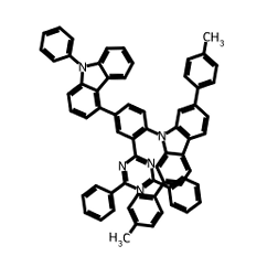 Cc1ccc(-c2ccc3c4ccc(-c5ccc(C)cc5)cc4n(-c4ccc(-c5cccc6c5c5ccccc5n6-c5ccccc5)cc4-c4nc(-c5ccccc5)nc(-c5ccccc5)n4)c3c2)cc1